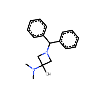 CN(C)C1(C#N)CN(C(c2ccccc2)c2ccccc2)C1